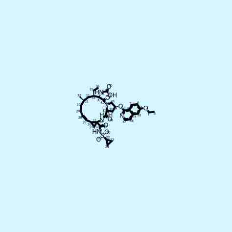 CCOc1ccc2c(O[C@@H]3C[C@H]4C(=O)NC5(C(=O)NS(=O)(=O)C6CC6)CC5/C=C\CC[C@@H](C)C[C@@H](CC)[C@H](NC(=O)O)C(=O)N4C3)nccc2c1